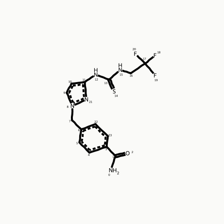 NC(=O)c1ccc(Cn2ccc(NC(=S)NCC(F)(F)F)n2)cc1